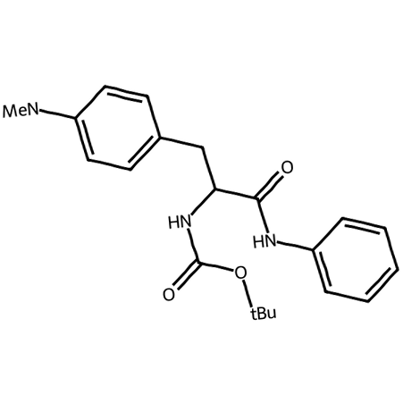 CNc1ccc(CC(NC(=O)OC(C)(C)C)C(=O)Nc2ccccc2)cc1